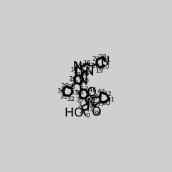 CC1(O)CC(c2ccc(-c3nc4c(cnc5cc(-c6ccncc6)nn54)cc3-c3ccccc3)cc2)(N2C(=O)c3ccccc3C2=O)C1